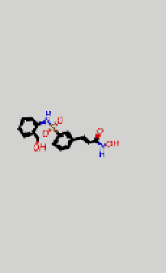 O=C(/C=C/c1cccc(S(=O)(=O)Nc2ccccc2CO)c1)NO